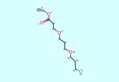 CC(C)(C)OC(=O)CCOCCCOCCCCl